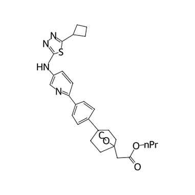 CCCOC(=O)CC12CCC(c3ccc(-c4ccc(Nc5nnc(C6CCC6)s5)cn4)cc3)(CC1)CO2